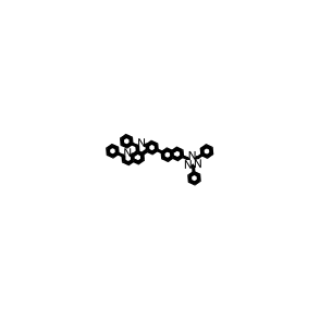 c1ccc(-c2ccc3ccc4c5cc(-c6ccc7cc(-c8nc(-c9ccccc9)nc(-c9ccccc9)n8)ccc7c6)ccc5nc(-c5ccccc5)c4c3n2)cc1